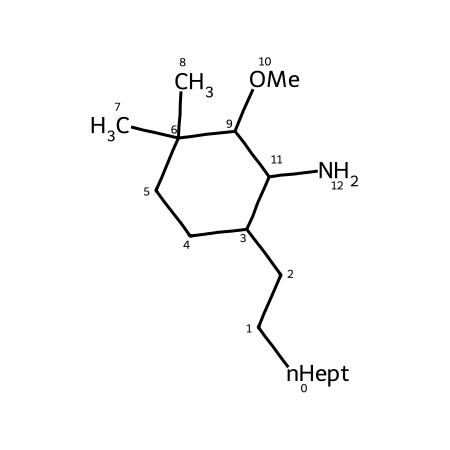 CCCCCCCCCC1CCC(C)(C)C(OC)C1N